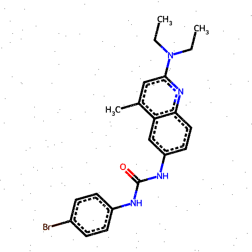 CCN(CC)c1cc(C)c2cc(NC(=O)Nc3ccc(Br)cc3)ccc2n1